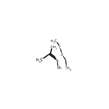 CC(C)=NO.CCOCC